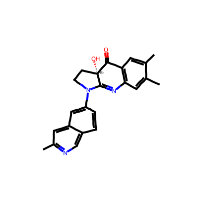 Cc1cc2cc(N3CC[C@@]4(O)C(=O)c5cc(C)c(C)cc5N=C34)ccc2cn1